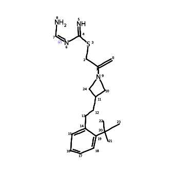 C=C(CSC(=N)/N=C\N)N1CC(CCc2ccccc2C(C)(C)C)C1